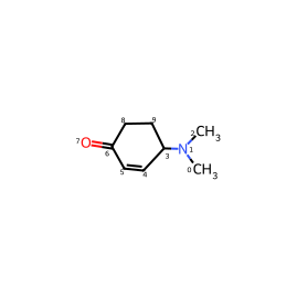 CN(C)C1C=CC(=O)CC1